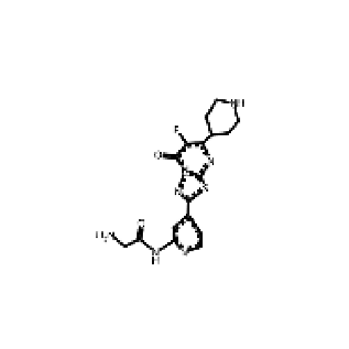 NCC(=O)Nc1cc(-c2nn3c(=O)c(F)c(C4CCNCC4)nc3s2)ccn1